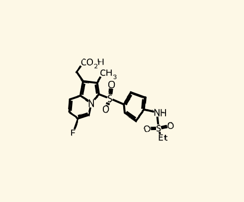 CCS(=O)(=O)Nc1ccc(S(=O)(=O)c2c(C)c(CC(=O)O)c3ccc(F)cn23)cc1